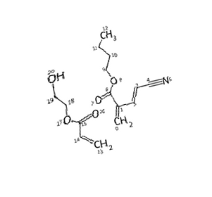 C=C(C=CC#N)C(=O)OCCCC.C=CC(=O)OCCO